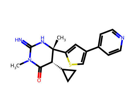 CN1C(=N)N[C@](C)(c2cc(-c3ccncc3)cs2)[C@H](C2CC2)C1=O